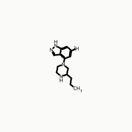 [2H]c1cc(N2CCNC(CCC)C2)c2cn[nH]c2c1